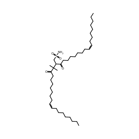 CCCCCCCC/C=C\CCCCCCCC(=O)C(CS(N)(=O)=O)C(C)(C)C(=O)CCCCCCC/C=C\CCCCCCCC